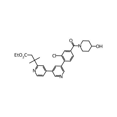 CCOC(=O)CC(C)(C)c1cc(-c2cncc(-c3ccc(C(=O)N4CCC(O)CC4)cc3Cl)c2)ccn1